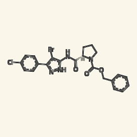 O=C(Nc1[nH]nc(-c2ccc(Cl)cc2)c1Br)[C@@H]1CCCN1C(=O)OCc1ccccc1